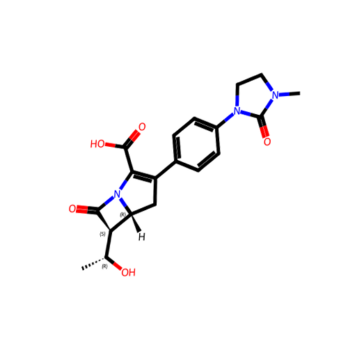 C[C@@H](O)[C@H]1C(=O)N2C(C(=O)O)=C(c3ccc(N4CCN(C)C4=O)cc3)C[C@H]12